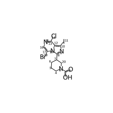 O=C(O)N1CCCC(c2nc(I)c3c(Cl)ncc(Br)n23)C1